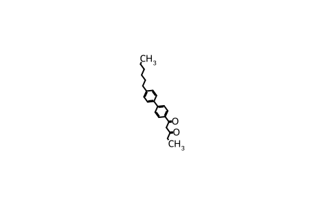 CCCCCCc1ccc(-c2ccc(C(=O)CC(=O)CC)cc2)cc1